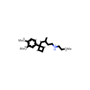 COCCNCCC(C)CC1(c2ccc(OC)c(OC)c2)CCC1